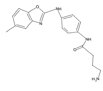 Cc1ccc2oc(Nc3ccc(NC(=O)CCCN)cc3)nc2c1